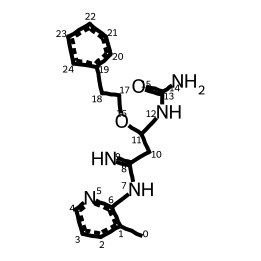 Cc1cccnc1NC(=N)CC(NC(N)=O)OCCc1ccccc1